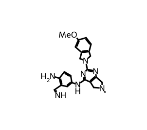 COc1ccc2c(c1)CN(c1nc3c(c(Nc4ccc(N)c(C=N)c4)n1)CN(C)C3)C2